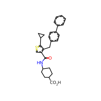 O=C(NC1CCC(C(=O)O)CC1)c1csc(C2CC2)c1Cc1ccc(-c2ccccc2)cc1